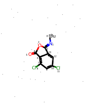 CC(C)(C)/N=C1\OC(=O)c2c(Cl)cc(Cl)cc21